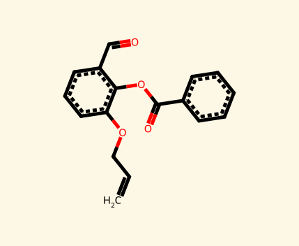 C=CCOc1cccc(C=O)c1OC(=O)c1ccccc1